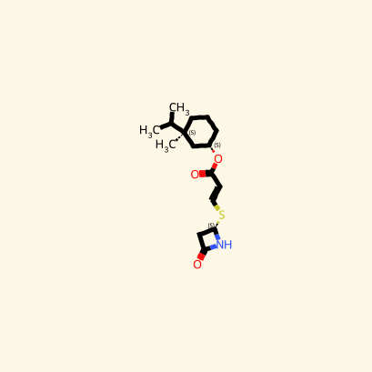 CC(C)[C@@]1(C)CCC[C@H](OC(=O)C=CS[C@H]2CC(=O)N2)C1